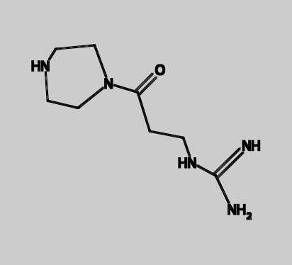 N=C(N)NCCC(=O)N1CCNCC1